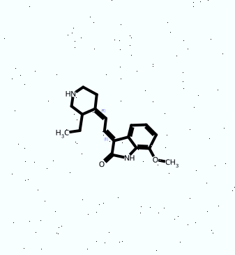 CCC1CNCC/C1=C/C=C1/C(=O)Nc2c(OC)cccc21